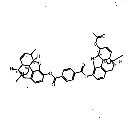 CC(=O)OC1C=CC2[C@H]3Cc4ccc(OC(=O)c5ccc(C(=O)Oc6ccc7c8c6O[C@H]6C(C)C=CC9[C@@H](C7)N(C)CC[C@@]896)cc5)c5c4[C@@]2(CCN3C)[C@H]1O5